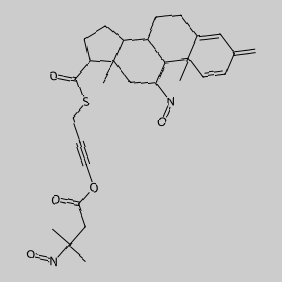 C=C1C=CC2(C)C(=C1)CCC1C2C(N=O)CC2(C)C(C(=O)SCC#COC(=O)CC(C)(C)N=O)CCC12